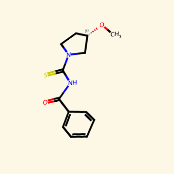 CO[C@H]1CCN(C(=S)NC(=O)c2ccccc2)C1